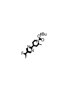 C[C@H]1CC(c2ncc(C(F)F)cn2)CCN1C(=O)OC(C)(C)C